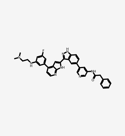 CN(C)CCNc1cc(F)cc(-c2ccnc3[nH]c(-c4n[nH]c5ccc(-c6cncc(NC(=O)Cc7ccccc7)c6)cc45)cc23)c1